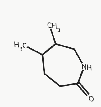 CC1CCC(=O)NCC1C